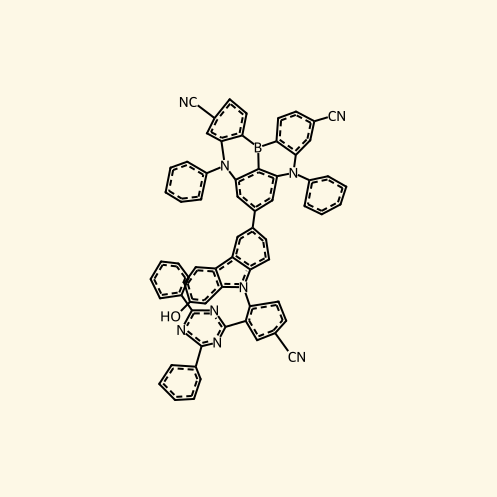 N#Cc1ccc(-n2c3ccc(-c4cc5c6c(c4)N(c4ccccc4)c4cc(C#N)ccc4B6c4ccc(C#N)cc4N5c4ccccc4)cc3c3ccc(O)cc32)c(-c2nc(-c3ccccc3)nc(-c3ccccc3)n2)c1